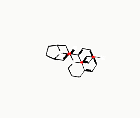 N#Cc1ccc(C2=CC3CCC(C2)N3C(=O)N2CCCc3ccccc32)cc1